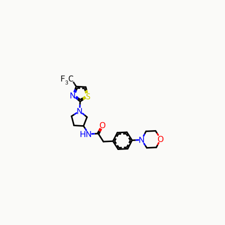 O=C(Cc1ccc(N2CCOCC2)cc1)NC1CCN(c2nc(C(F)(F)F)cs2)C1